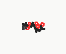 CCC(C)(C)C(=O)OC(C)(C)C(=O)CC1(C)CC(C)C(=O)O1